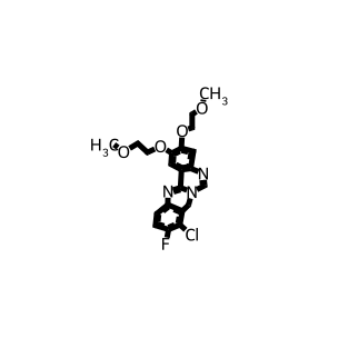 COCCOc1cc2c(cc1OCCOC)C1=Nc3ccc(F)c(Cl)c3CN1C=N2